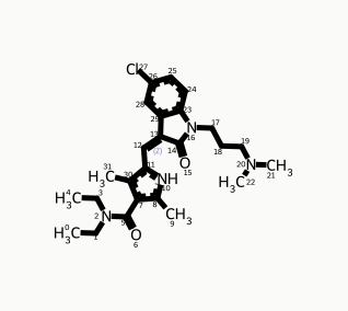 CCN(CC)C(=O)c1c(C)[nH]c(/C=C2\C(=O)N(CCCN(C)C)c3ccc(Cl)cc32)c1C